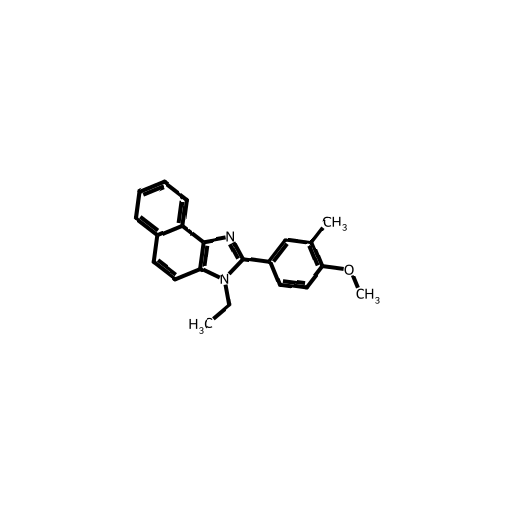 CCn1c(-c2ccc(OC)c(C)c2)nc2c3ccccc3ccc21